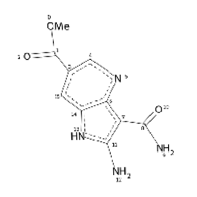 COC(=O)c1cnc2c(C(N)=O)c(N)[nH]c2c1